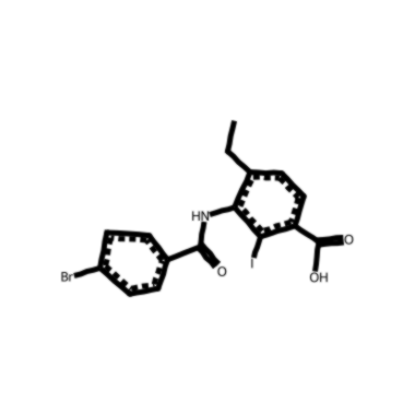 CCc1ccc(C(=O)O)c(I)c1NC(=O)c1ccc(Br)cc1